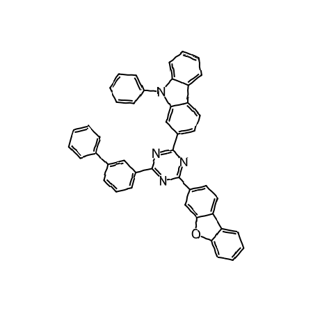 c1ccc(-c2cccc(-c3nc(-c4ccc5c(c4)oc4ccccc45)nc(-c4ccc5c6ccccc6n(-c6ccccc6)c5c4)n3)c2)cc1